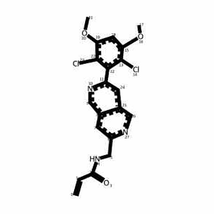 C=CC(=O)NCc1cc2cnc(-c3c(Cl)c(OC)cc(OC)c3Cl)cc2cn1